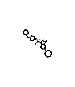 Cn1nc(C(=O)NC2CCN(CC3CCCCC3)CC2)c2ccc(N3CCCCCCC3)cc21